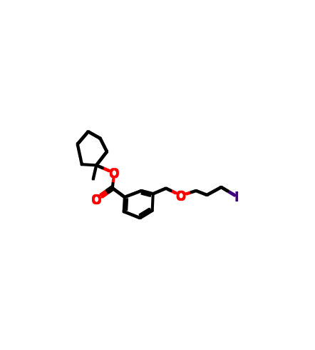 CC1(OC(=O)c2cccc(COCCCI)c2)CCCCC1